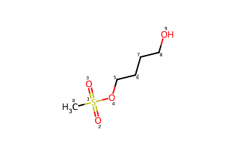 CS(=O)(=O)OC[CH]CCO